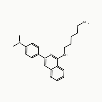 CN(C)c1ccc(-c2cc3ncccc3c(NCCCCCN)n2)cc1